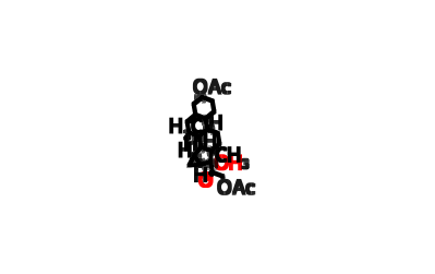 CC(=O)OCC(=O)[C@@]1(O)[C@@H]2C[C@@H]2[C@H]2[C@@H]3CC=C4C[C@@H](OC(C)=O)CC[C@]4(C)[C@H]3CC[C@@]21C